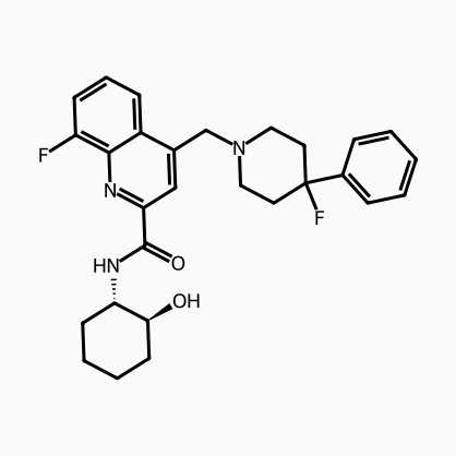 O=C(N[C@H]1CCCC[C@@H]1O)c1cc(CN2CCC(F)(c3ccccc3)CC2)c2cccc(F)c2n1